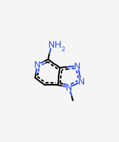 Cn1nnc2c(N)nccc21